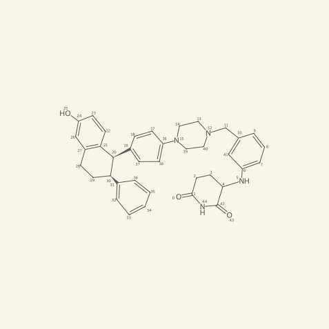 O=C1CCC(Nc2cccc(CN3CCN(c4ccc([C@@H]5c6ccc(O)cc6CC[C@@H]5c5ccccc5)cc4)CC3)c2)C(=O)N1